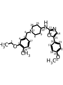 CCOc1cc(CN2CCC(Nc3ncc(-c4ccc(OC)cc4)o3)CC2)ccc1C